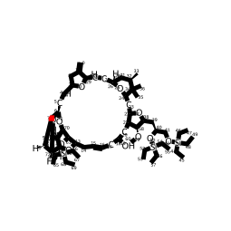 C=C1C[C@@H]2CC[C@@]34C[C@H]5O[C@@H]6[C@@H](OC(C/C=C/CC(O)CC7C(CC8O[C@@H](CC[C@@H]1O2)C[C@@H](C)C8(C)C)OC(C[C@@H](CO[Si](CC)(CC)CC)O[Si](CC)(CC)CC)[C@@H]7OC)C(O[Si](CC)(CC)CC)[C@@H]6O3)[C@H]5O4